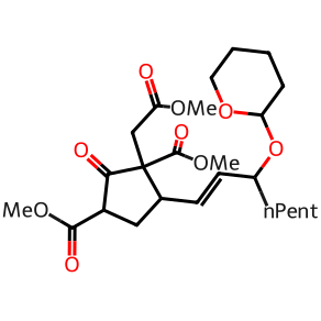 CCCCCC(C=CC1CC(C(=O)OC)C(=O)C1(CC(=O)OC)C(=O)OC)OC1CCCCO1